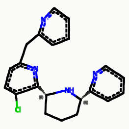 Clc1ccc(Cc2ccccn2)nc1[C@H]1CCC[C@@H](c2ccccn2)N1